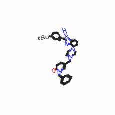 CC(C)(C)c1ccc(-c2nc3c(N4CCN(Cc5ccc(=O)n(Cc6ccccc6)c5)CC4)cccc3[nH]2)cc1